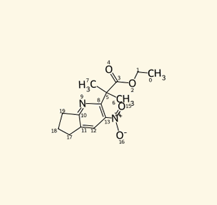 CCOC(=O)C(C)(C)c1nc2c(cc1[N+](=O)[O-])CCC2